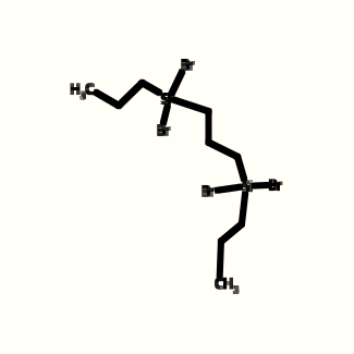 CCC[Si](Br)(Br)CCC[Si](Br)(Br)CCC